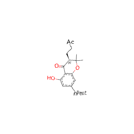 CCCCCc1cc(O)c2c(c1)OC(C)(C)[C@H](CCC(C)=O)C2=O